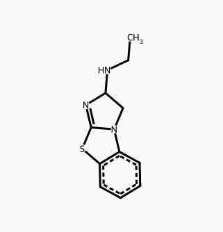 CCNC1CN2C(=N1)Sc1ccccc12